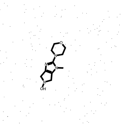 Cn1c(N2CCOCC2)nc2c1CN(O)C2